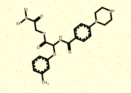 CCN(CC)C(=O)COC(=O)C(NC(=O)c1ccc(N2CCNCC2)cc1)Oc1cccc(C)c1